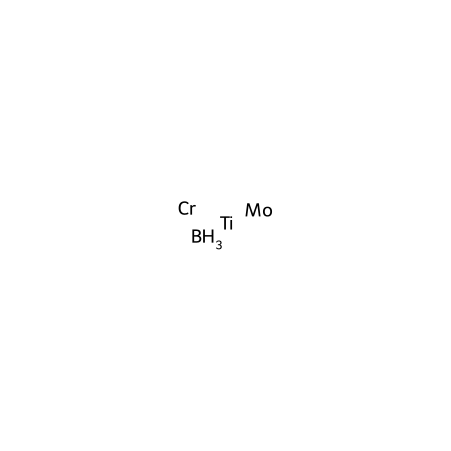 B.[Cr].[Mo].[Ti]